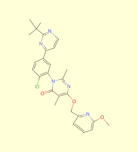 COc1cccc(COc2nc(C)n(-c3cc(-c4ccnc(C(C)(C)C)n4)ccc3Cl)c(=O)c2C)n1